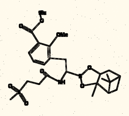 COc1c(CC(NC(=O)CCS(C)(=O)=O)B2OC3CC4CC(C4(C)C)C3(C)O2)cccc1C(=O)OC(C)(C)C